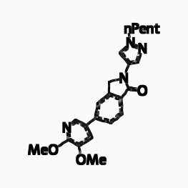 CCCCCn1cc(N2Cc3cc(-c4cnc(OC)c(OC)c4)ccc3C2=O)cn1